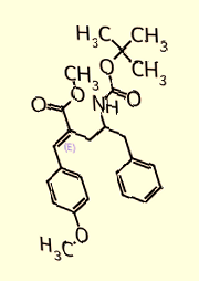 COC(=O)/C(=C/c1ccc(OC)cc1)CC(Cc1ccccc1)NC(=O)OC(C)(C)C